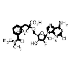 CN(C)C(=O)c1cccc(CC(OC[C@H]2O[C@@](C)(n3cnc4c(N)nc(Cl)nc43)[C@@H](F)[C@@H]2O)(C(=O)O)C(=O)O)c1